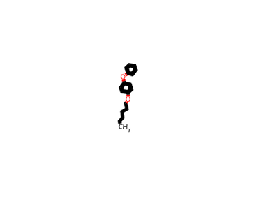 CCCCCCOc1ccc(Oc2ccccc2)cc1